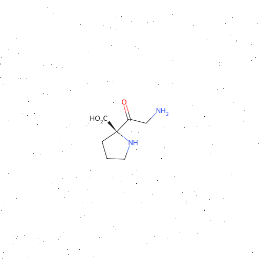 NCC(=O)[C@@]1(C(=O)O)CCCN1